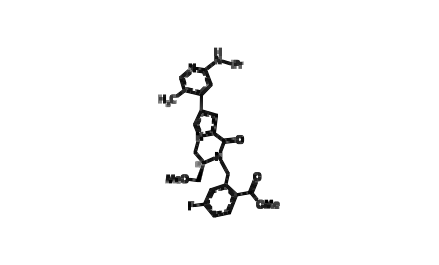 COC[C@H]1Cn2cc(-c3cc(NC(C)C)ncc3C)cc2C(=O)N1Cc1cc(F)ccc1C(=O)OC